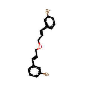 Brc1cccc(C=CCOCC=Cc2cccc(Br)c2)c1